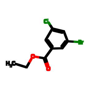 CCOC(=O)c1cc(Cl)cc(Br)c1